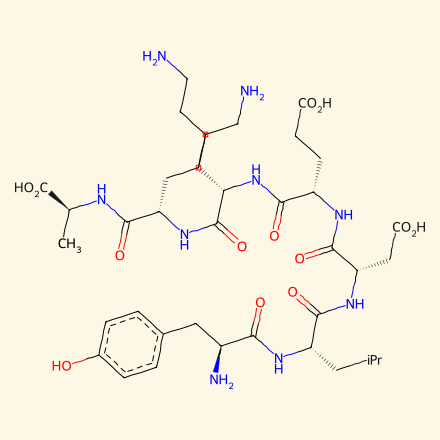 CC(C)C[C@H](NC(=O)[C@@H](N)Cc1ccc(O)cc1)C(=O)N[C@@H](CC(=O)O)C(=O)N[C@@H](CCC(=O)O)C(=O)N[C@@H](CCCCN)C(=O)N[C@@H](CCCCN)C(=O)N[C@@H](C)C(=O)O